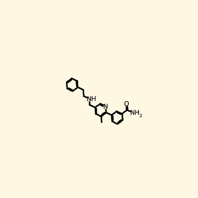 Cc1cc(CNCCc2ccccc2)cnc1-c1cccc(C(N)=O)c1